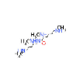 CNCCCC[C@H](NC)C(=O)NC[C@H](CCCNC)NC